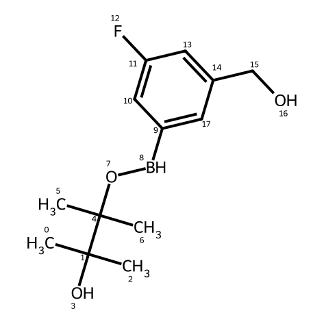 CC(C)(O)C(C)(C)OBc1cc(F)cc(CO)c1